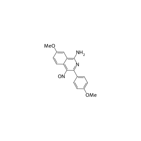 COc1ccc(-c2nc(N)c3cc(OC)ccc3c2N=O)cc1